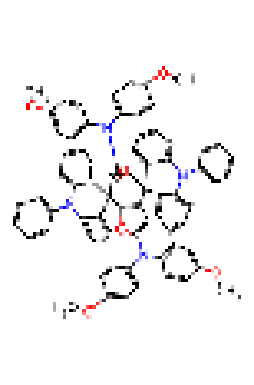 COc1ccc(N(c2ccc(OC)cc2)c2cc3c(o2)C2(c4ccccc4N(c4ccccc4)c4ccccc42)c2cc(N(c4ccc(OC)cc4)c4ccc(OC)cc4)oc2C32c3ccccc3N(c3ccccc3)c3ccccc32)cc1